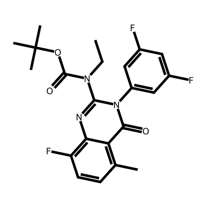 CCN(C(=O)OC(C)(C)C)c1nc2c(F)ccc(C)c2c(=O)n1-c1cc(F)cc(F)c1